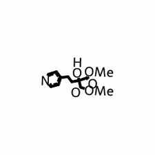 COC(=O)C(O)(CCc1ccncc1)C(=O)OC